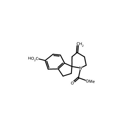 C=C1CCN(C(=O)OC)C2(CCc3cc(C(=O)O)ccc32)C1